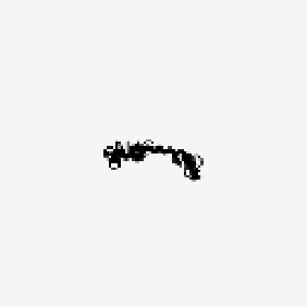 COC(=O)C(N)Cc1ccc(OCCCCC2CCN(C(=O)OC(C)(C)C)CC2)cc1